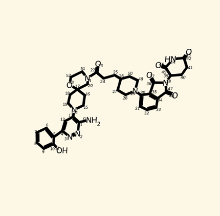 Nc1nnc(-c2ccccc2O)cc1N1CCC2(CC1)CN(C(=O)CCC1CCN(c3cccc4c3C(=O)N(C3CCC(=O)NC3=O)C4=O)CC1)CCO2